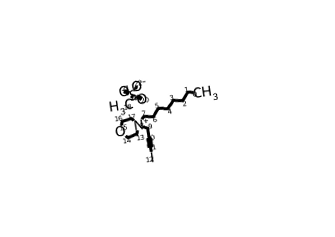 CCCCCCCC[N+]1(CC#CI)CCOCC1.CS(=O)(=O)[O-]